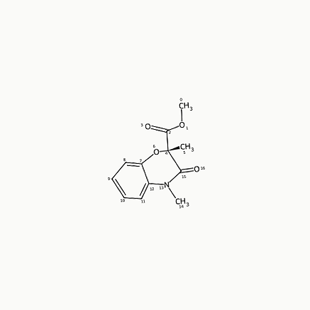 COC(=O)[C@@]1(C)Oc2ccccc2N(C)C1=O